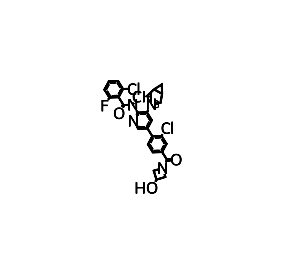 CN(C(=O)c1c(F)cccc1Cl)c1ncc(-c2ccc(C(=O)N3CC(O)C3)cc2Cl)cc1N1CC2CC2C1